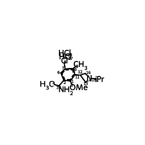 COc1c(C(C)N)cc(Cl)c(C)c1C1CN(C(C)C)C1.Cl.Cl